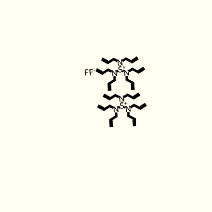 C=CCN(CC=C)[S+](N(CC=C)CC=C)N(CC=C)CC=C.C=CCN(CC=C)[S+](N(CC=C)CC=C)N(CC=C)CC=C.[F-].[F-]